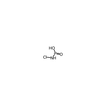 O=[P](O)NCl